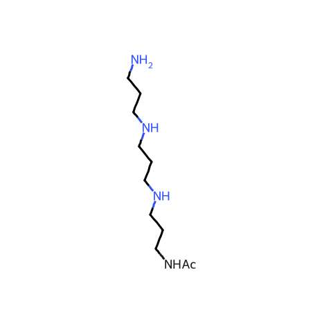 CC(=O)NCCCNCCCNCCCN